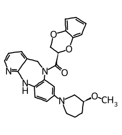 CO[C@H]1CCCN(c2ccc3c(c2)N(C(=O)[C@H]2COc4ccccc4O2)Cc2cccnc2N3)C1